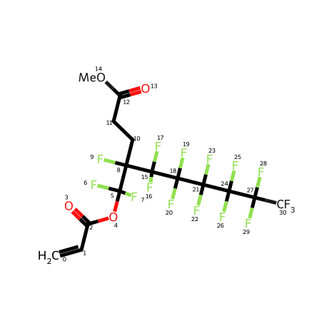 C=CC(=O)OC(F)(F)C(F)(CCC(=O)OC)C(F)(F)C(F)(F)C(F)(F)C(F)(F)C(F)(F)C(F)(F)F